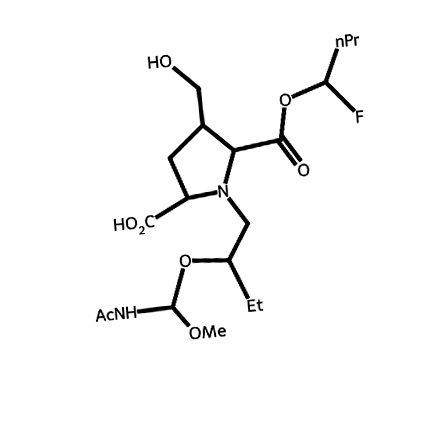 CCCC(F)OC(=O)C1C(CO)CC(C(=O)O)N1CC(CC)OC(NC(C)=O)OC